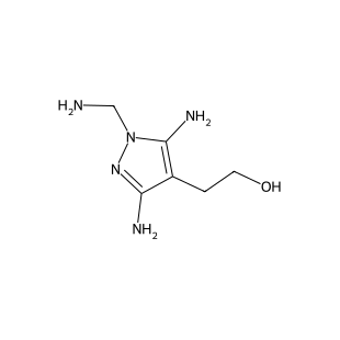 NCn1nc(N)c(CCO)c1N